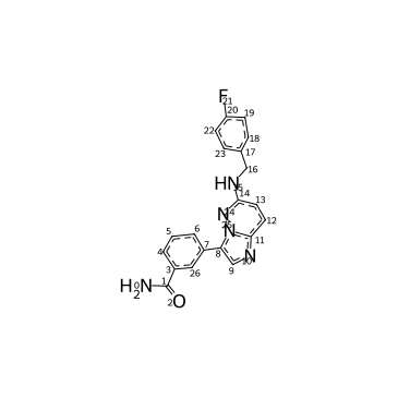 NC(=O)c1cccc(-c2cnc3ccc(NCc4ccc(F)cc4)nn23)c1